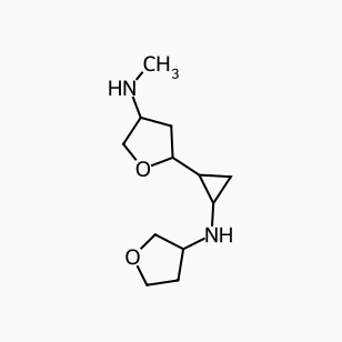 CNC1COC(C2CC2NC2CCOC2)C1